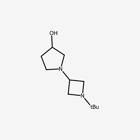 CC(C)(C)N1CC(N2CCC(O)C2)C1